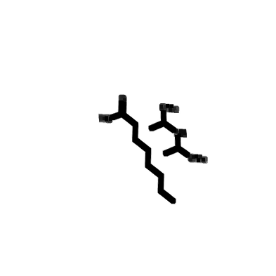 CCCCCCCC(=O)O.COC(C)NC(C)OC